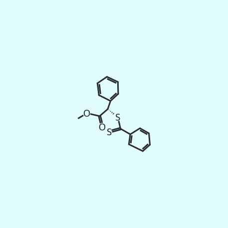 COC(=O)[C@@H](SC(=S)c1ccccc1)c1ccccc1